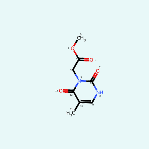 COC(=O)Cn1c(=O)[nH]cc(C)c1=O